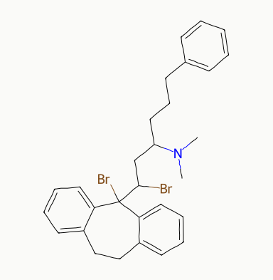 CN(C)C(CCCc1ccccc1)CC(Br)C1(Br)c2ccccc2CCc2ccccc21